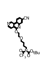 CC(C)(C)OC(=O)N(CCCCOCCOc1nc2cc(C#N)ccc2c2cnccc12)C(=O)C(F)(F)F